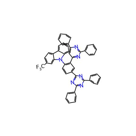 FC(F)(F)c1ccc2c3ccccc3n(-c3ccc(-c4nc(-c5ccccc5)nc(-c5ccccc5)n4)cc3-c3cc(-c4ccccc4)nc(-c4ccccc4)n3)c2c1